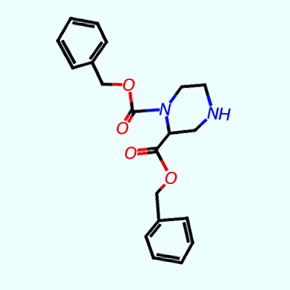 O=C(OCc1ccccc1)C1CNCCN1C(=O)OCc1ccccc1